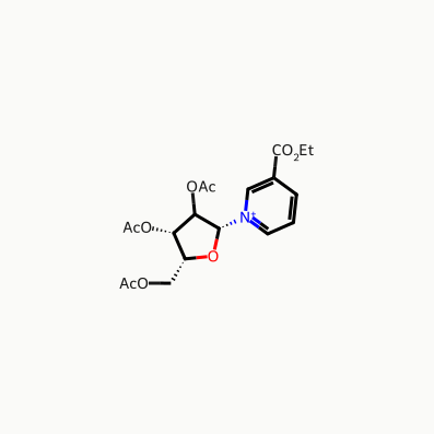 CCOC(=O)c1ccc[n+]([C@@H]2O[C@H](COC(C)=O)[C@H](OC(C)=O)C2OC(C)=O)c1